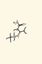 CC(C)C(O[Si](C)(C)C(C)(C)C)C(C)C(N)=O